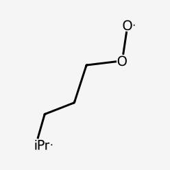 C[C](C)CCCO[O]